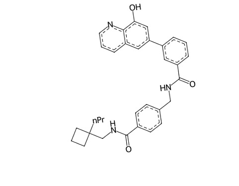 CCCC1(CNC(=O)c2ccc(CNC(=O)c3cccc(-c4cc(O)c5ncccc5c4)c3)cc2)CCC1